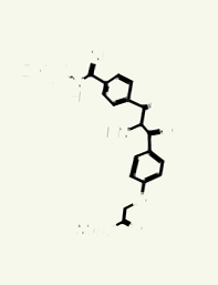 CCOC(=O)NC(=N)c1ccc(C(=O)C(N)C(=O)c2ccc(OCC(=O)OC)cc2)cc1